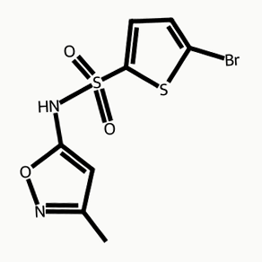 Cc1cc(NS(=O)(=O)c2ccc(Br)s2)on1